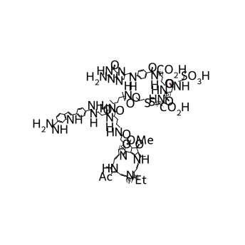 CC[C@H]1c2cc3[nH]c4c(c3C)C(=O)C(C(=O)OC)c4c3nc(cc4[nH]c(cc(n2)[C@@H]1C)c(C(C)=O)c4C)C[C@@H]3CCC(=O)NCCCC(NC(=O)CCNC(=N)c1ccc(-c2cc3ccc(C(=N)N)cc3[nH]2)cc1)C(=O)NC(C)CCC(C)(C)NC(=O)OCCSSC[C@H](NC(=O)[C@H](CC(=O)NCCS(=O)(=O)O)NC(=O)CC[C@H](NC(=O)c1ccc(NCc2cnc3nc(N)[nH]c(=O)c3n2)cc1)C(=O)O)C(=O)O